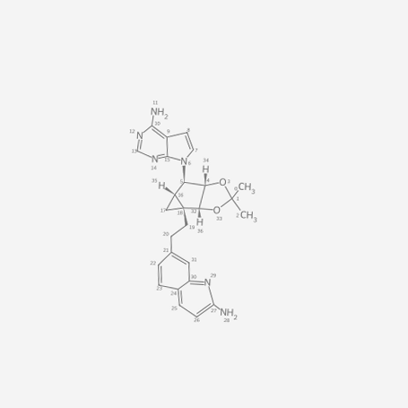 CC1(C)O[C@H]2[C@H](n3ccc4c(N)ncnc43)[C@H]3C[C@@]3(CCc3ccc4ccc(N)nc4c3)[C@H]2O1